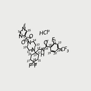 Cl.Cn1cnc(S(=O)(=O)N2CCN(C3(CNC(=O)c4ccc(C(F)(F)F)cc4F)CCC(F)(F)CC3)CC2)c1